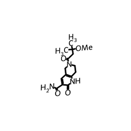 COC(C)(C)CC(=O)N1CCc2[nH]c(=O)c(C(N)=O)cc2C1